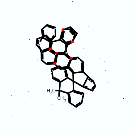 CC1(C)c2ccccc2C2(c3ccccc3-c3ccc(N(c4ccccc4-c4ccccc4-c4ccccc4-c4ccccc4)c4cccc5sc6ccccc6c45)cc32)c2ccccc21